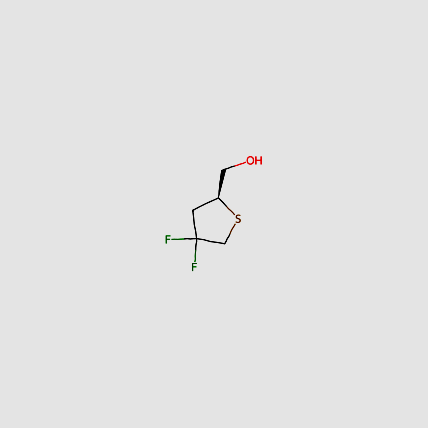 OC[C@@H]1CC(F)(F)CS1